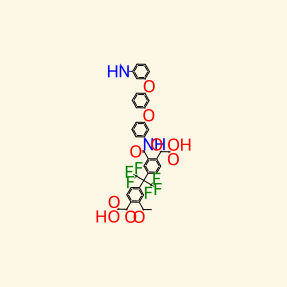 CNc1cccc(Oc2cccc(Oc3cccc(NC(=O)c4cc(C(c5ccc(C(=O)C(=O)O)c(C(C)=O)c5)(C(F)(F)F)C(F)(F)F)ccc4C(=O)C(=O)O)c3)c2)c1